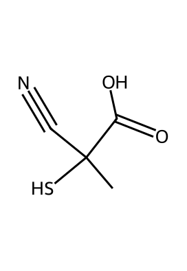 CC(S)(C#N)C(=O)O